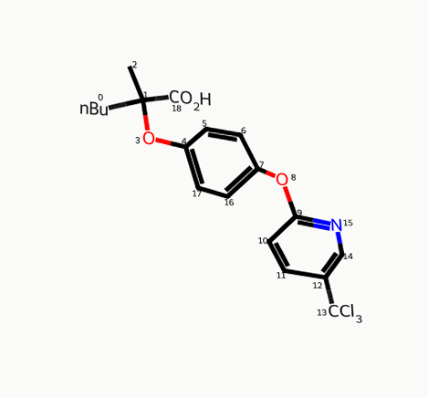 CCCCC(C)(Oc1ccc(Oc2ccc(C(Cl)(Cl)Cl)cn2)cc1)C(=O)O